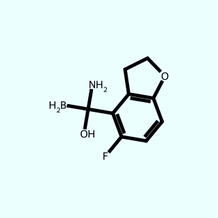 BC(N)(O)c1c(F)ccc2c1CCO2